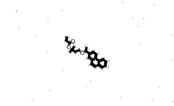 C=CC(=O)OC(C)(C)CCOC(C)c1ccc2c(ccc3ccccc32)c1